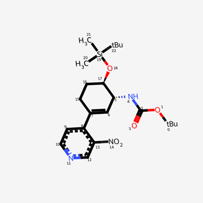 CC(C)(C)OC(=O)N[C@@H]1C=C(c2ccncc2[N+](=O)[O-])CC[C@H]1O[Si](C)(C)C(C)(C)C